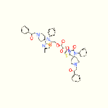 Cc1csc(C2(N(C(=O)COC(=O)C(=O)OCC(=O)N(c3ccccc3)C3(c4nc(C)cs4)CCN(CC(=O)c4ccccc4)CC3)c3ccccc3)CCN(CC(=O)c3ccccc3)CC2)n1